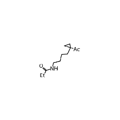 CCC(=O)NCCCCC1(C(C)=O)CC1